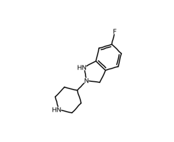 Fc1ccc2c(c1)NN(C1CCNCC1)C2